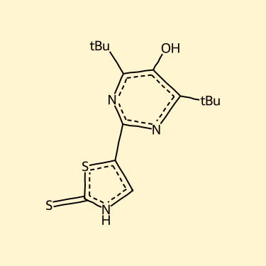 CC(C)(C)c1nc(-c2c[nH]c(=S)s2)nc(C(C)(C)C)c1O